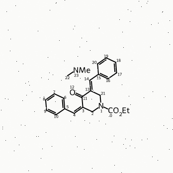 CCOC(=O)N1CC(=Cc2ccccc2)C(=O)C(=Cc2ccccc2)C1.CNC